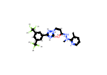 Cc1cccnc1N(C)NC(O)/C=C\n1cnc(-c2cc(C(F)(F)F)cc(C(F)(F)F)c2)n1